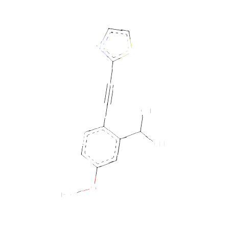 COc1ccc(C#Cc2nccs2)c(C(C)C)c1